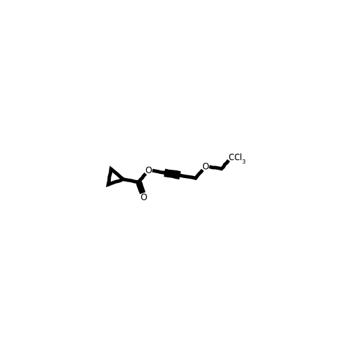 O=C(OC#CCOCC(Cl)(Cl)Cl)C1CC1